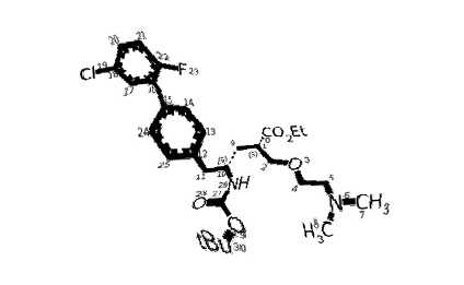 CCOC(=O)[C@H](COCCN(C)C)C[C@@H](Cc1ccc(-c2cc(Cl)ccc2F)cc1)NC(=O)OC(C)(C)C